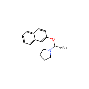 CCCCC(Oc1ccc2ccccc2c1)N1CCCC1